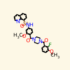 COc1cc(N[S+]([O-])c2cccc3cccnc23)ccc1C(=O)N1CCN(C(=O)c2cccc(OC)c2F)CC1